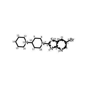 Brc1cnc2nc(N3CCC(N4CCCCC4)CC3)sc2c1